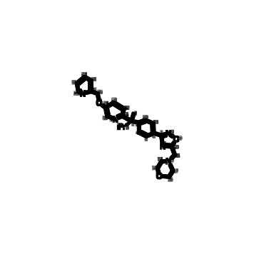 CC(C)[C@@](C)(c1ccc(-c2noc(CN3CCOCC3)n2)cc1)c1ccc(OCc2ccccn2)cn1